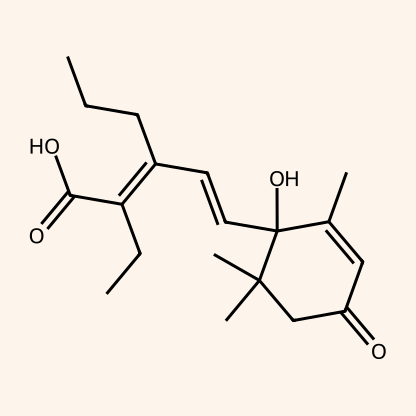 CCCC(C=CC1(O)C(C)=CC(=O)CC1(C)C)=C(CC)C(=O)O